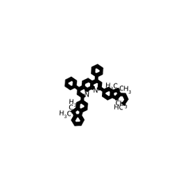 C#C/C=C\C1=C(C)c2ccc(-c3cc(-c4ccccc4)c4ccc5c(-c6ccccc6)cc(-c6ccc7c(c6)C(C)(C)c6ccccc6-7)nc5c4n3)cc2C1(C)C